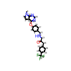 Cn1ccc2c(Oc3ccc(CNCC(=O)Cc4ccc(C(F)(F)F)cc4)cc3)ncnc21